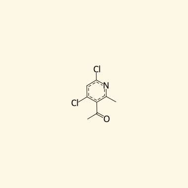 CC(=O)c1c(Cl)cc(Cl)nc1C